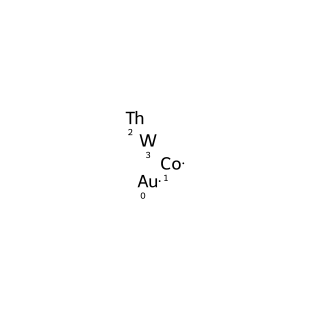 [Au].[Co].[Th].[W]